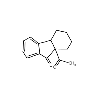 CC(=O)C12CCCCC1c1ccccc1C2=O